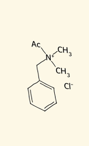 CC(=O)[N+](C)(C)Cc1ccccc1.[Cl-]